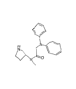 CN(C(=O)CN(c1ccccc1)c1ccccc1)C1CCNC1